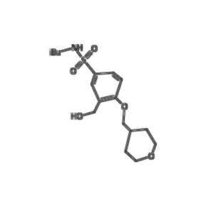 CCC(C)NS(=O)(=O)c1ccc(OCC2CCOCC2)c(CO)c1